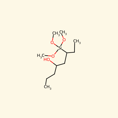 CCCC(O)CC(CC)[Si](OC)(OC)OC